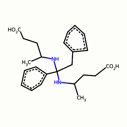 CC(CCC(=O)O)NC(Cc1ccccc1)(NC(C)CCC(=O)O)c1ccccc1